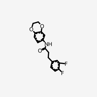 O=C(CCc1ccc(F)c(F)c1)Nc1ccc2c(c1)OCCO2